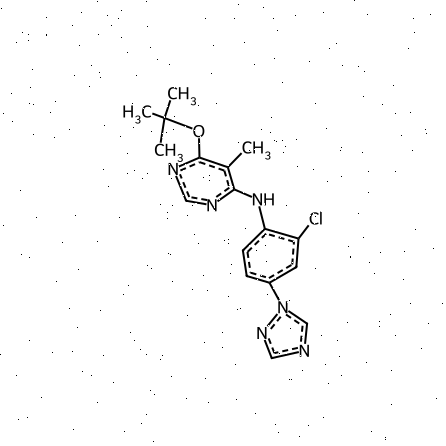 Cc1c(Nc2ccc(-n3cncn3)cc2Cl)ncnc1OC(C)(C)C